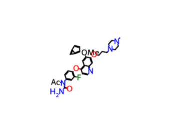 COc1cc2c(Oc3ccc(N(C(C)=O)C(N)=O)cc3F)ccnc2cc1OCCCN1CCN(C)CC1.c1cc2cc-2c1